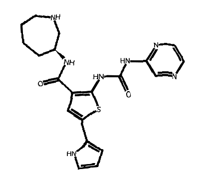 O=C(Nc1cnccn1)Nc1sc(-c2ccc[nH]2)cc1C(=O)N[C@H]1CCCCNC1